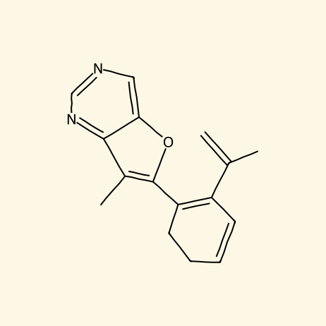 C=C(C)C1=C(c2oc3cncnc3c2C)CCC=C1